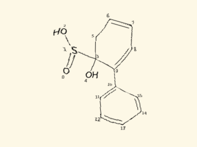 O=S(O)C1(O)CC=CC=C1c1ccccc1